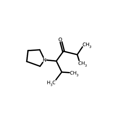 CC(C)C(=O)C(C(C)C)N1CCCC1